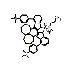 C[SiH](CCC(F)(F)F)[Zr]([Cl])([Cl])([CH]1C(CC2CCCCCC2)=Cc2c(-c3ccc([Si](C)(C)C)cc3)cccc21)[CH]1C(CC2CCCCCC2)=Cc2c(-c3ccc([Si](C)(C)C)cc3)cccc21